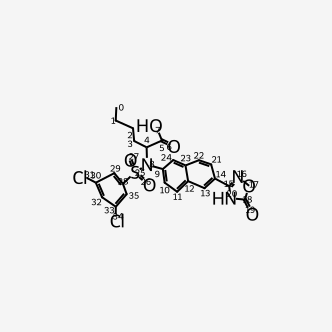 CCCCC(C(=O)O)N(c1ccc2cc(-c3noc(=O)[nH]3)ccc2c1)S(=O)(=O)c1cc(Cl)cc(Cl)c1